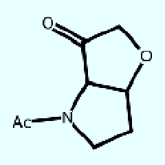 CC(=O)N1CCC2OCC(=O)C21